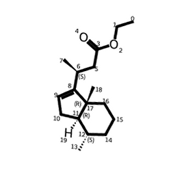 CCOC(=O)C[C@H](C)C1=CC[C@@H]2[C@@H](C)CCC[C@@]12C